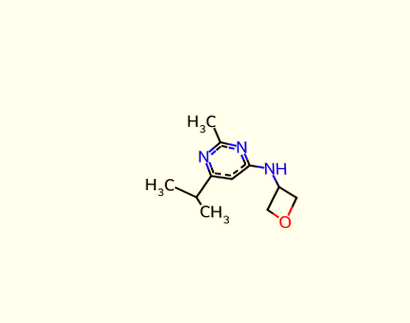 Cc1nc(NC2COC2)cc(C(C)C)n1